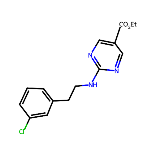 CCOC(=O)c1cnc(NCCc2cccc(Cl)c2)nc1